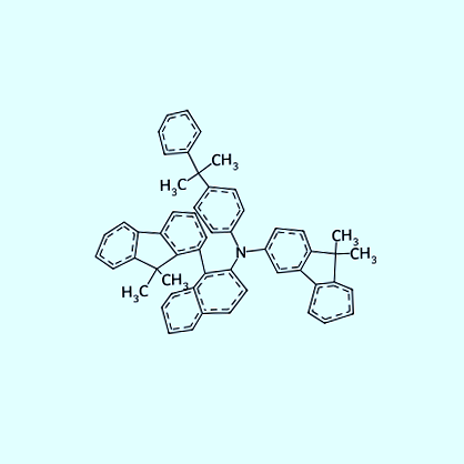 CC(C)(c1ccccc1)c1ccc(N(c2ccc3c(c2)-c2ccccc2C3(C)C)c2ccc3ccccc3c2-c2cccc3c2C(C)(C)c2ccccc2-3)cc1